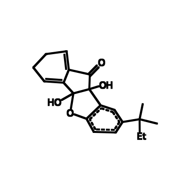 CCC(C)(C)c1ccc2c(c1)C1(O)C(=O)C3=CCCC=C3C1(O)O2